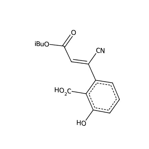 CC(C)COC(=O)C=C(C#N)c1cccc(O)c1C(=O)O